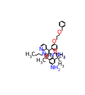 CCCCn1c(=O)c(N(C(N)=O)c2c(C(C)C)cc(N)cc2C(C)C)c(-c2cccc(OCCCOCc3ccccc3)c2)c2cccnc21